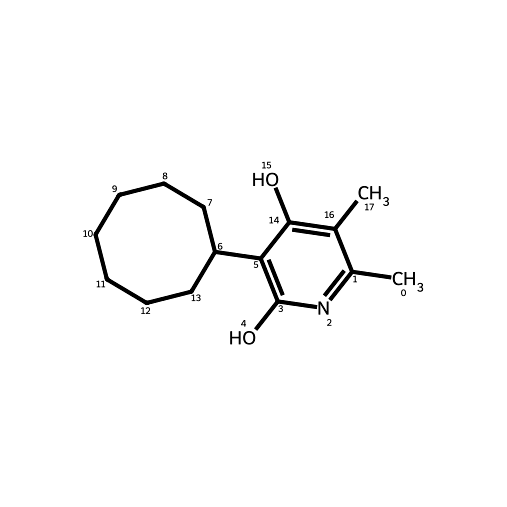 Cc1nc(O)c(C2CCCCCCC2)c(O)c1C